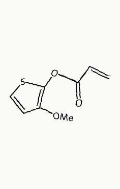 C=CC(=O)Oc1sccc1OC